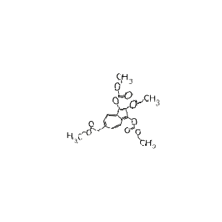 CCOC(=O)Cc1ccc2c(OC(=O)OCC)c(OCC)c(OC(=O)OCC)c-2cc1